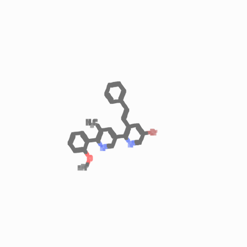 CCCOc1ccccc1-c1ncc(-c2ncc(Br)cc2/C=C/c2ccccc2)cc1C